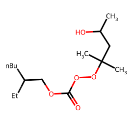 CCCCC(CC)COC(=O)OOC(C)(C)CC(C)O